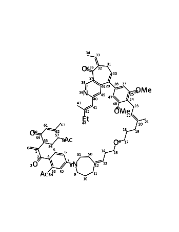 C=C(C(=O)c1ccc(N2CCC/C(=C/CCOCCC/C(C)=C/Cc3c(OC)cc(C4=CC/C(=C/C)C(=O)c5cnc(/C=C(\C)CC)cc54)cc3OC)CC2)cc1C(C)=O)C(CCC(C)=O)C(=O)/C=C/C